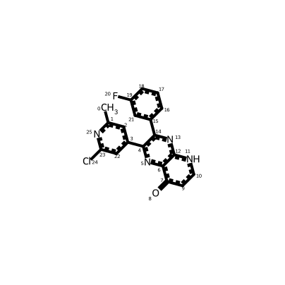 Cc1cc(-c2nc3c(=O)cc[nH]c3nc2-c2cccc(F)c2)cc(Cl)n1